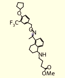 COC(=O)CCCNC1CCCc2c(/C(C)=N/OCc3ccc(OC4CCCC4)c(C(F)(F)F)c3)cccc21